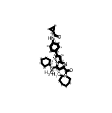 CC1CCCCCN1C(=O)c1cc(N(C)C2CCCCC2)n2nc(-c3ccc(NC(=O)C4CC4)cc3)cc2n1